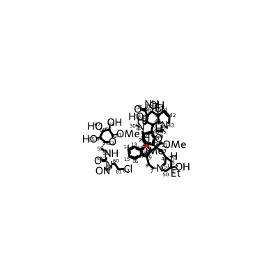 CC[C@]1(O)C[C@H]2C[N@](CCc3c([nH]c4ccccc34)[C@@](C(=O)OC)(c3cc4c(cc3OC)N(C)[C@H]3[C@@](O)(C(N)=O)[C@H](O)[C@]5(CC)C=CCN6CC[C@]43[C@@H]65)C2)C1.CO[C@H]1O[C@H](CNC(=O)N(CCCl)N=O)[C@@H](O)[C@H](O)[C@H]1O